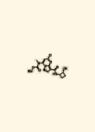 CN(C(=O)OC(C)(C)C)c1cc(Cl)nc2c(C(=O)NC3CC[C@@H]3O)cnn12